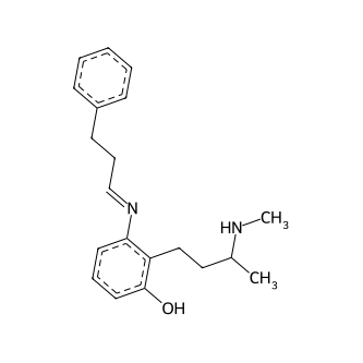 CNC(C)CCc1c(O)cccc1/N=C/CCc1ccccc1